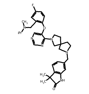 CC(C)N(C)Cc1cc(F)ccc1Oc1cncnc1N1CCC2(CCN(Cc3ccc4c(c3)NC(=O)C4(C)C)C2)C1